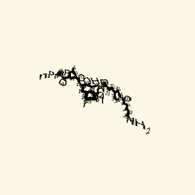 CCCN(CCC)C(=O)c1cc(C)cc(C(=O)C[C@@H](Cc2cc(F)cc(F)c2)[C@@H](O)CCNC(=O)CCC2CCN(C(=O)CCCCCN)CC2)c1